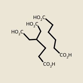 O=C(O)CCC(CC(=O)O)CC(=O)O.O=C(O)CCCCC(=O)O